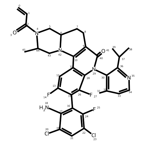 C=CC(=O)N1CC2CCc3c(c4cc(F)c(-c5c(N)c(Cl)cc(Cl)c5F)c(F)c4n(-c4c(C)ccnc4C(C)C)c3=O)N2CC1C